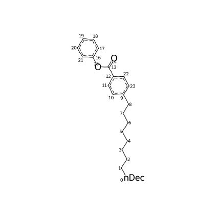 CCCCCCCCCCCCCCCCCCc1ccc(C(=O)Oc2ccccc2)cc1